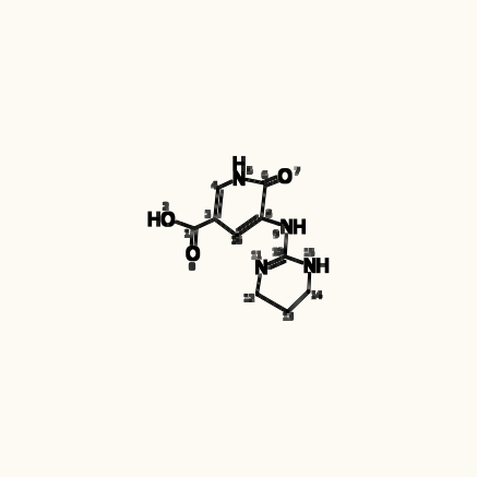 O=C(O)c1c[nH]c(=O)c(NC2=NCCCN2)c1